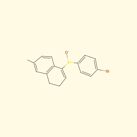 Cc1ccc2c(c1)CCC=C2[S+]([O-])c1ccc(Br)cc1